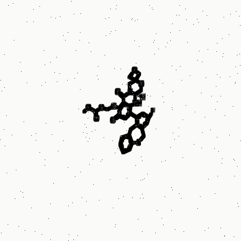 COC(=O)OCOc1c2n(c(-c3cc(F)cc4c3Cc3ccccc3SC4)cc1=O)N[C@@H]1COC3(COC3)CN1C2=O